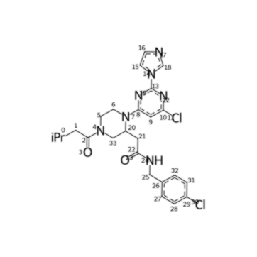 CC(C)CC(=O)N1CCN(c2cc(Cl)nc(-n3ccnc3)n2)C(CC(=O)NCc2ccc(Cl)cc2)C1